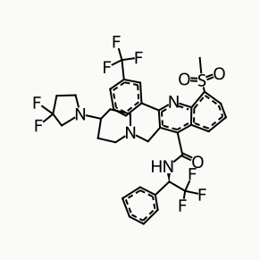 CS(=O)(=O)c1cccc2c(C(=O)N[C@H](c3ccccc3)C(F)(F)F)c(CN3CCC(N4CCC(F)(F)C4)CC3)c(-c3cccc(C(F)(F)F)c3)nc12